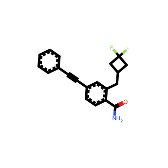 NC(=O)c1ccc(C#Cc2ccccc2)cc1CC1CC(F)(F)C1